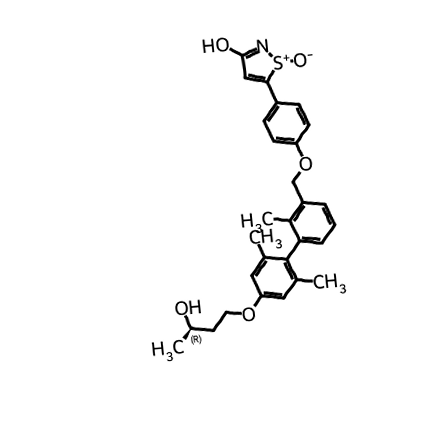 Cc1cc(OCC[C@@H](C)O)cc(C)c1-c1cccc(COc2ccc(-c3cc(O)n[s+]3[O-])cc2)c1C